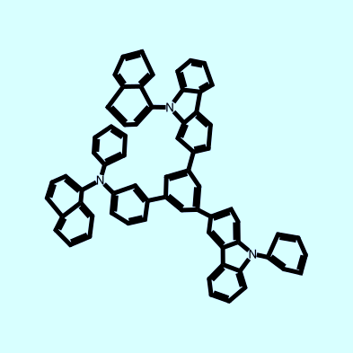 c1ccc(N(c2cccc(-c3cc(-c4ccc5c(c4)c4ccccc4n5-c4ccccc4)cc(-c4ccc5c6ccccc6n(-c6cccc7ccccc67)c5c4)c3)c2)c2cccc3ccccc23)cc1